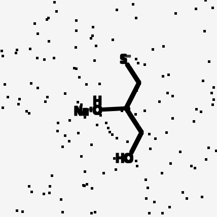 OCC(O)C[S-].[Na+]